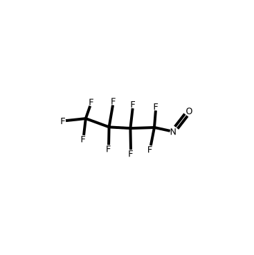 O=NC(F)(F)C(F)(F)C(F)(F)C(F)(F)F